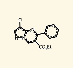 CCOC(=O)c1cn2ncc(Cl)c2nc1-c1ccccc1